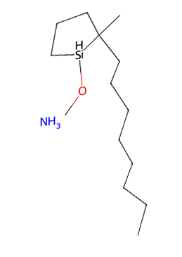 CCCCCCCCC1(C)CCC[SiH]1OC.N